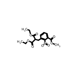 CCOC(=O)C(Cc1cccc(C(=O)OC)c1[N+](=O)[O-])C(=O)OCC